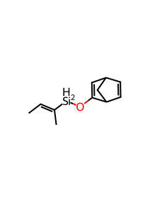 C/C=C(\C)[SiH2]OC1=CC2C=CC1C2